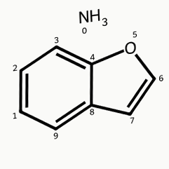 N.c1ccc2occc2c1